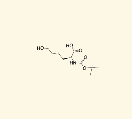 CC(C)(C)OC(=O)N[C@@H](CCCCO)C(=O)O